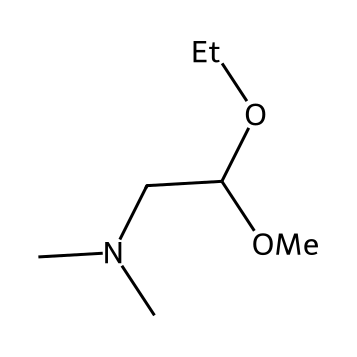 CCOC(CN(C)C)OC